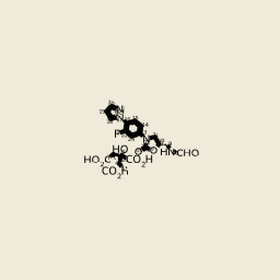 O=C(O)CC(O)(CC(=O)O)C(=O)O.O=CNC[C@H]1CN(c2ccc(-n3cccn3)c(F)c2)C(=O)O1